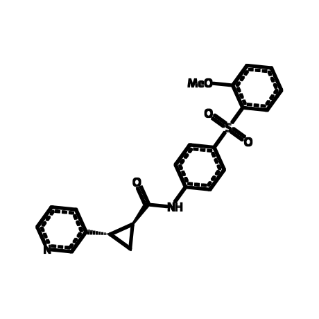 COc1ccccc1S(=O)(=O)c1ccc(NC(=O)[C@H]2C[C@@H]2c2cccnc2)cc1